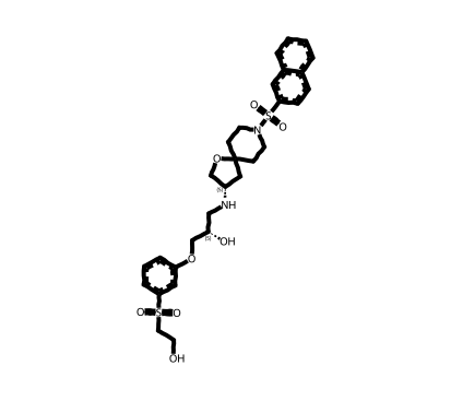 O=S(=O)(CCO)c1cccc(OC[C@@H](O)CN[C@@H]2COC3(CCN(S(=O)(=O)c4ccc5ccccc5c4)CC3)C2)c1